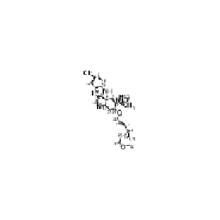 COc1cc2c(Nc3ccc(Cl)cc3F)ncnc2cc1OCC#CCN1CCOCC1.Cl.O